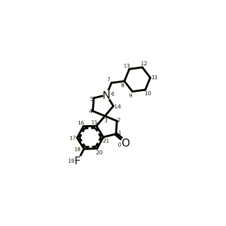 O=C1CC2(CCN(CC3CCCCC3)C2)c2ccc(F)cc21